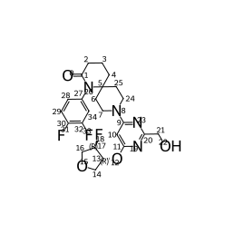 O=C1CCCC2(CCN(c3cc(O[C@@H]4COC[C@H]4F)nc(CO)n3)CC2)N1c1ccc(F)c(F)c1